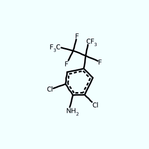 Nc1c(Cl)cc(C(F)(C(F)(F)F)C(F)(F)C(F)(F)F)cc1Cl